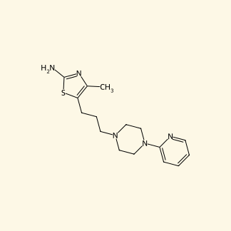 Cc1nc(N)sc1CCCN1CCN(c2ccccn2)CC1